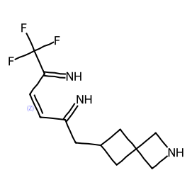 N=C(/C=C\C(=N)C(F)(F)F)CC1CC2(CNC2)C1